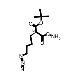 CC(C)(C)OC(=O)[C@H](CCCCN=[N+]=[N-])C(=O)ON